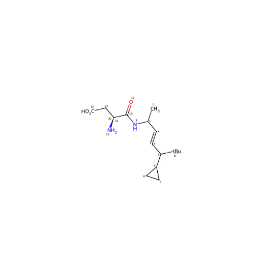 CC(C=CC(C1CC1)C(C)(C)C)NC(=O)[C@@H](N)CC(=O)O